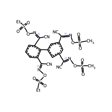 CCS(=O)(=O)O/N=C(\C#N)c1cccc(/C(C#N)=N\OS(=O)(=O)CC)c1-c1cc(/C(C#N)=N/OS(C)(=O)=O)cc(/C(C#N)=N\OS(C)(=O)=O)c1